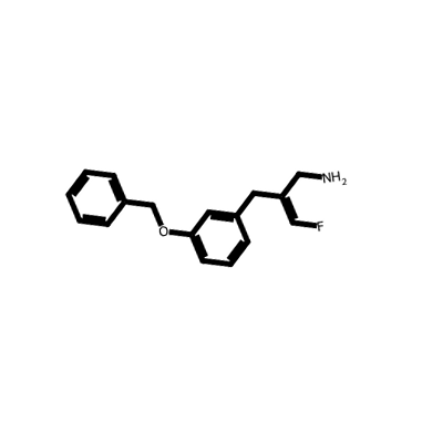 NCC(=CF)Cc1cccc(OCc2ccccc2)c1